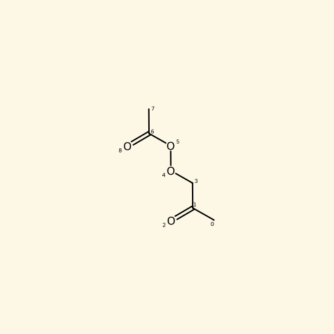 CC(=O)COOC(C)=O